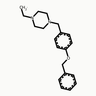 [CH2]CN1CCN(Cc2ccc(OCc3ccccc3)cc2)CC1